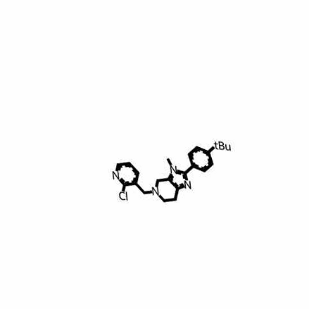 Cn1c(-c2ccc(C(C)(C)C)cc2)nc2c1CN(Cc1cccnc1Cl)CC2